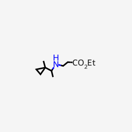 CCOC(=O)CCNC(C)C1(C)CC1